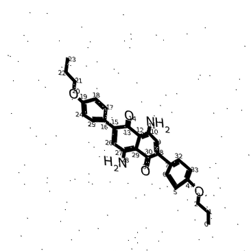 CCCOc1ccc(C2=CC(N)=C3C(=O)C(c4ccc(OCCC)cc4)=CC(N)=C3C2=O)cc1